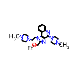 CCOCc1nc2c(N3CCN(C)CC3)nc3ccccc3c2n1CCN1CCN(C)CC1